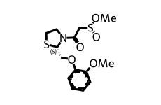 COc1ccccc1OC[C@@H]1SCCN1C(=O)CS(=O)OC